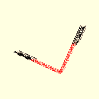 [Mg+2].[Mg+2].[Mg+2].[Mg+2].[Mg+2].[Mg+2].[Mg+2].[Mg+2].[Mg+2].[Mg+2].[Mg+2].[Mg+2].[Mg+2].[Mg+2].[Mg+2].[Mg+2].[Mg+2].[Mg+2].[Mg+2].[Mg+2].[Mg+2].[Mg+2].[Mg+2].[Mg+2].[Mg+2].[Mg+2].[Mg+2].[Mg+2].[Mg+2].[Mg+2].[O-2].[O-2].[O-2].[O-2].[O-2].[O-2].[O-2].[O-2].[O-2].[O-2].[O-2].[O-2].[O-2].[O-2].[O-2].[O-2].[O-2].[O-2].[O-2].[O-2].[O-2].[O-2].[O-2].[O-2].[O-2].[O-2].[O-2].[O-2].[O-2].[O-2].[O-2].[O-2].[O-2].[O-2].[O-2].[O-2].[O-2].[O-2].[O-2].[O-2].[O-2].[O-2].[O-2].[O-2].[O-2].[O-2].[O-2].[O-2].[O-2].[O-2]